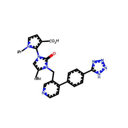 CCCCc1cn(-c2c(C(=O)O)ccn2C(C)C)c(=O)n1Cc1cnccc1-c1ccc(-c2nnn[nH]2)cc1